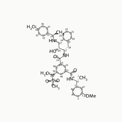 COc1cccc([C@@H](C)NC(=O)c2cc(C(=O)N[C@@H](Cc3ccccc3)[C@H](O)CN[C@H](C)c3ccc(C)cc3)cc(N(C)S(C)(=O)=O)c2)c1